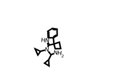 N=C(N(C1CC1)C(N)C1CC1)C1(c2ccccc2)CCC1